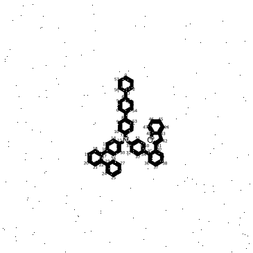 c1ccc(-c2ccc(-c3ccc(N(c4ccc(-c5ccccc5-c5ccccc5)cc4)c4ccc(-c5ccccc5-c5cc6ccccc6o5)cc4)cc3)cc2)cc1